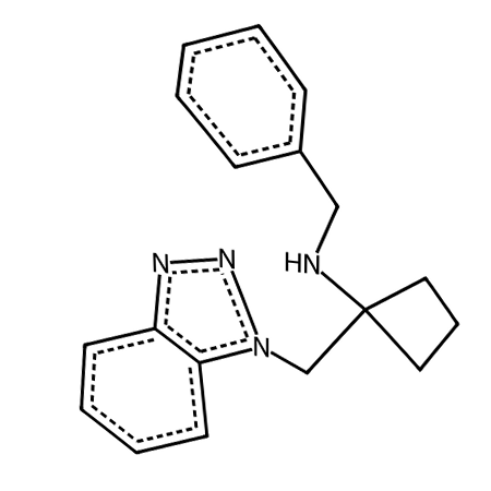 c1ccc(CNC2(Cn3nnc4ccccc43)CCC2)cc1